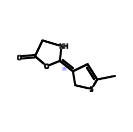 CC1=C/C(=C2\NCC(=O)O2)CS1